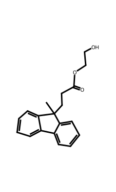 CC1(CCC(=O)OCCO)c2ccccc2-c2ccccc21